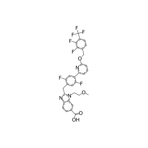 COCCn1c(Cc2cc(F)c(-c3cccc(OCc4ccc(C(F)(F)F)c(F)c4F)n3)cc2F)nc2ccc(C(=O)O)cc21